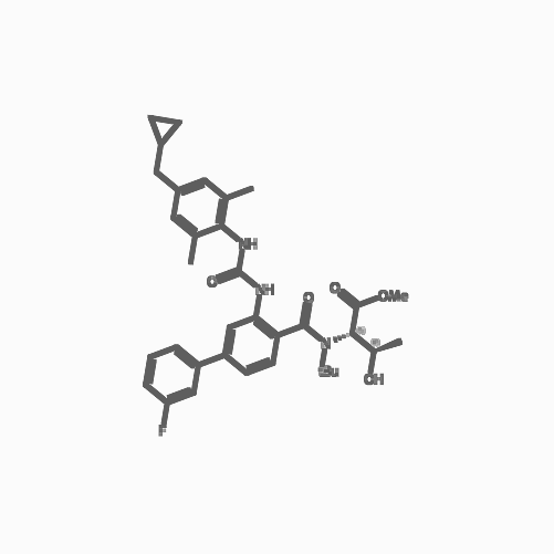 COC(=O)[C@H]([C@@H](C)O)N(C(=O)c1ccc(-c2cccc(F)c2)cc1NC(=O)Nc1c(C)cc(CC2CC2)cc1C)C(C)(C)C